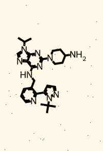 CC(C)n1cnc2c(NCc3cccnc3-c3ccnn3C(C)(C)C)nc(N3CCC(N)CC3)nc21